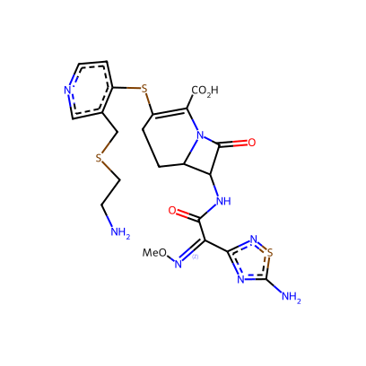 CO/N=C(\C(=O)NC1C(=O)N2C(C(=O)O)=C(Sc3ccncc3CSCCN)CCC12)c1nsc(N)n1